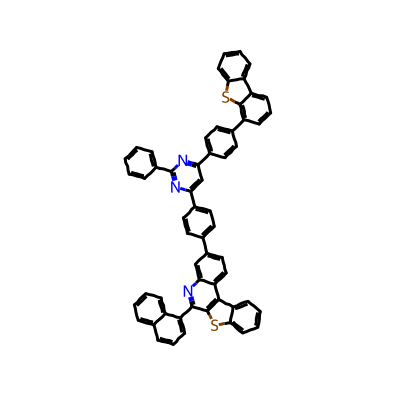 c1ccc(-c2nc(-c3ccc(-c4ccc5c(c4)nc(-c4cccc6ccccc46)c4sc6ccccc6c45)cc3)cc(-c3ccc(-c4cccc5c4sc4ccccc45)cc3)n2)cc1